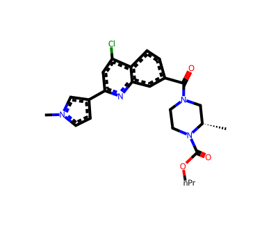 CCCOC(=O)N1CCN(C(=O)c2ccc3c(Cl)cc(-c4ccn(C)c4)nc3c2)C[C@@H]1C